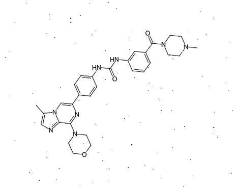 Cc1cnc2c(N3CCOCC3)nc(-c3ccc(NC(=O)Nc4cccc(C(=O)N5CCN(C)CC5)c4)cc3)cn12